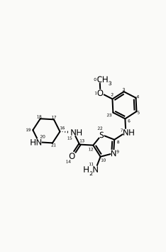 COc1cccc(Nc2nc(N)c(C(=O)N[C@H]3CCCNC3)s2)c1